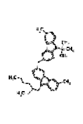 CCCCC(CC)Cn1c2ccc(C)cc2c2cc(Cc3ccc4c(c3)c3cc(C)ccc3n4[Si](C)(C)C)ccc21